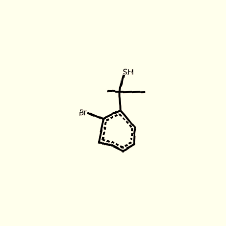 CC(C)(S)c1ccccc1Br